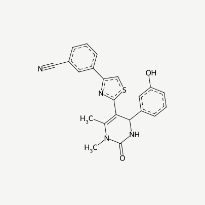 CC1=C(c2nc(-c3cccc(C#N)c3)cs2)C(c2cccc(O)c2)NC(=O)N1C